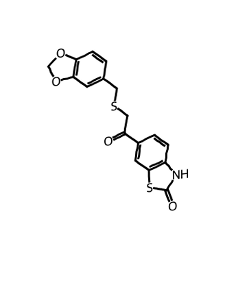 O=C(CSCc1ccc2c(c1)OCO2)c1ccc2[nH]c(=O)sc2c1